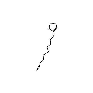 C=CCCCCCCCCC1=NCCO1